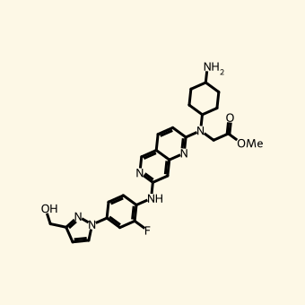 COC(=O)CN(c1ccc2cnc(Nc3ccc(-n4ccc(CO)n4)cc3F)cc2n1)C1CCC(N)CC1